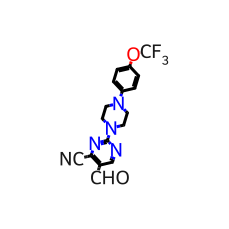 N#Cc1nc(N2CCN(c3ccc(OC(F)(F)F)cc3)CC2)ncc1C=O